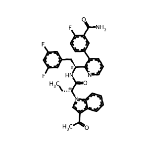 CC[C@H](C(=O)N[C@@H](Cc1cc(F)cc(F)c1)c1ncccc1-c1ccc(F)c(C(N)=O)c1)n1cc(C(C)=O)c2ccccc21